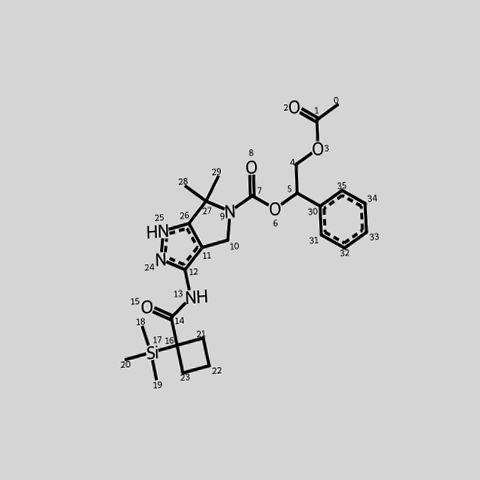 CC(=O)OCC(OC(=O)N1Cc2c(NC(=O)C3([Si](C)(C)C)CCC3)n[nH]c2C1(C)C)c1ccccc1